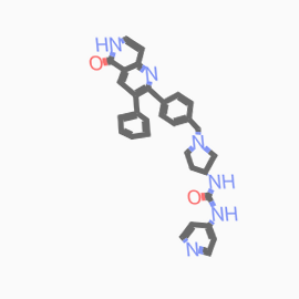 O=C(Nc1ccncc1)N[C@@H]1CCN(Cc2ccc(-c3nc4cc[nH]c(=O)c4cc3-c3ccccc3)cc2)C1